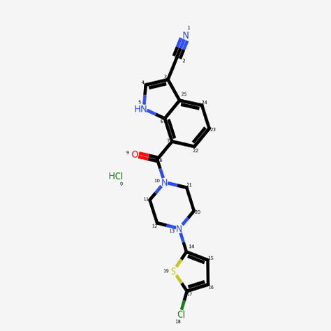 Cl.N#Cc1c[nH]c2c(C(=O)N3CCN(c4ccc(Cl)s4)CC3)cccc12